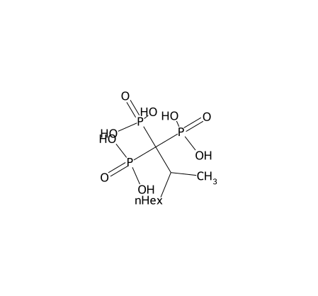 CCCCCCC(C)C(P(=O)(O)O)(P(=O)(O)O)P(=O)(O)O